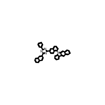 c1ccc(-c2nc(-c3ccc4ccccc4c3)nc(-c3ccc4c(-n5c6ccccc6c6cc7ccccc7cc65)cccc4c3)n2)cc1